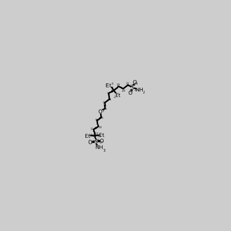 CCC(CC)(CCCCOCCCCC(CC)(CC)S(N)(=O)=O)CCCS(N)(=O)=O